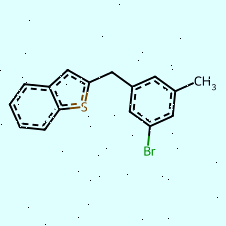 Cc1cc(Br)cc(Cc2cc3ccccc3s2)c1